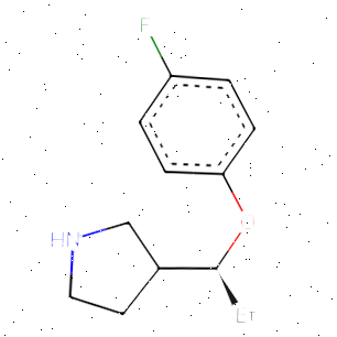 CC[C@H](Oc1ccc(F)cc1)C1CCNC1